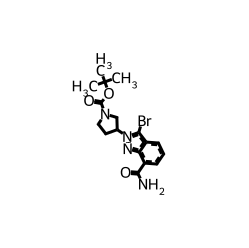 CC(C)(C)OC(=O)N1CCC(n2nc3c(C(N)=O)cccc3c2Br)C1